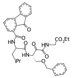 CCOC(=O)CNC(=O)C(=O)[C@H](COCc1ccccc1)NC(=O)C(CC(C)C)NC(=O)c1cccc2c1C(=O)c1ccccc1-2